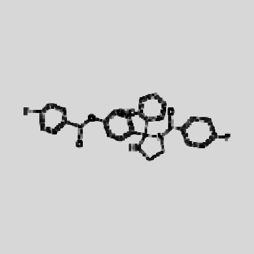 O=Cc1ccccc1C1(c2ccc(OC(=O)c3ccc(F)cc3)cc2)NCCN1C(=O)c1ccc(F)cc1